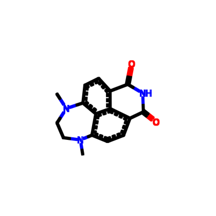 CN1CCN(C)c2ccc3c4c(ccc1c24)C(=O)NC3=O